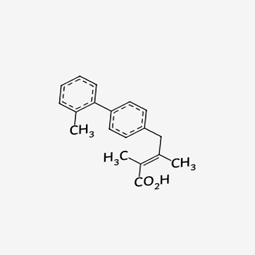 CC(Cc1ccc(-c2ccccc2C)cc1)=C(C)C(=O)O